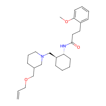 C=CCOCC1CCCN(C[C@@H]2CCCC[C@H]2NC(=O)CCc2ccccc2OC)C1